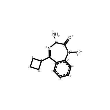 CCCN1C(=O)[C@@H](N)N=C(C2CCC2)c2ccccc21